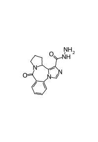 NNC(=O)c1ncn2c1C1CCCN1C(=O)c1ccccc1-2